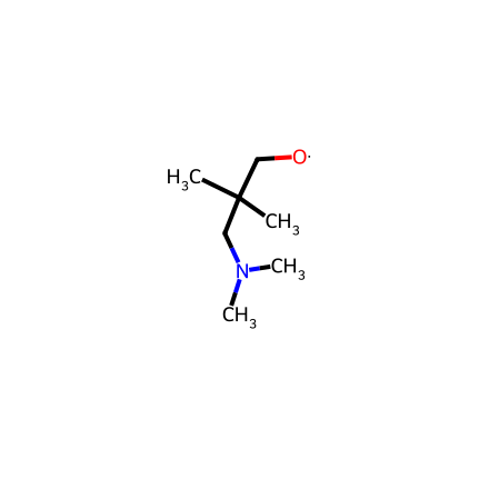 CN(C)CC(C)(C)C[O]